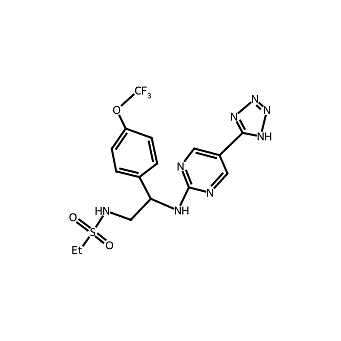 CCS(=O)(=O)NCC(Nc1ncc(-c2nnn[nH]2)cn1)c1ccc(OC(F)(F)F)cc1